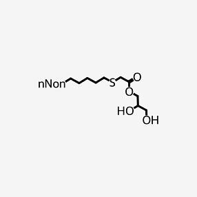 CCCCCCCCCCCCCCSCC(=O)OCC(O)CO